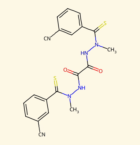 [C-]#[N+]c1cccc(C(=S)N(C)NC(=O)C(=O)NN(C)C(=S)c2cccc(C#N)c2)c1